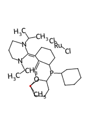 CCOC=C1C(=C2N(C(C)C)CCCN2C(C)C)CCCC1P(C1CCCCC1)C1CCCCC1.[Cl][Ru][Cl]